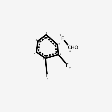 Fc1ccccc1F.O=CF